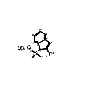 C[Si](C)(C)C1[C]([Ti+3])=Cc2ccccc21.[Cl-].[Cl-].[Cl-]